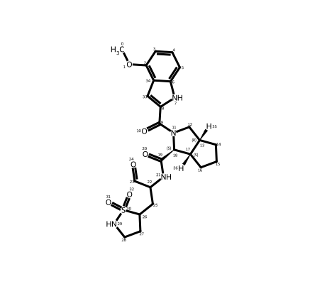 COc1cccc2[nH]c(C(=O)N3C[C@@H]4CCC[C@@H]4[C@H]3C(=O)NC(C=O)CC3CCNS3(=O)=O)cc12